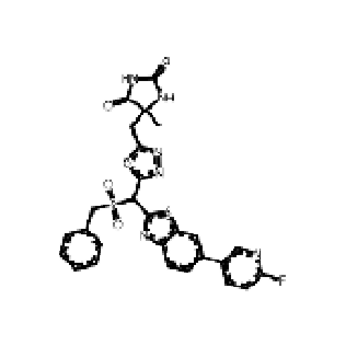 CC1(Cc2nnc(C(c3nc4ccc(-c5ccc(F)nc5)cc4s3)S(=O)(=O)Cc3ccccc3)o2)NC(=O)NC1=O